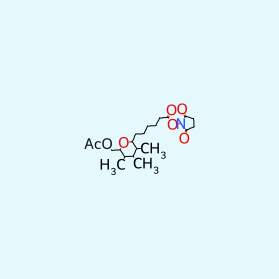 CC(=O)OCC1OC(CCCCCC(=O)ON2C(=O)CCC2=O)C(C)C(C)C1C